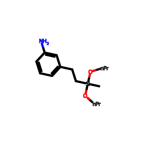 CCCO[Si](C)(CCc1cccc(N)c1)OCCC